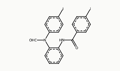 O=CN(c1ccc(I)cc1)c1ccccc1NC(=O)c1ccc(I)cc1